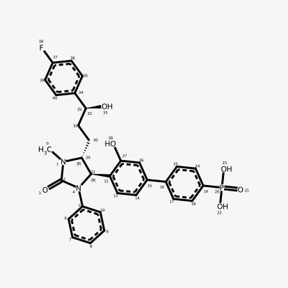 CN1C(=O)N(c2ccccc2)[C@H](c2ccc(-c3ccc(P(=O)(O)O)cc3)cc2O)[C@H]1CC[C@H](O)c1ccc(F)cc1